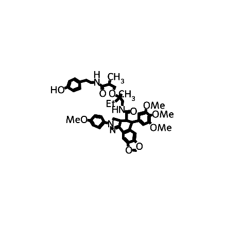 CCC(C)(CNC(=O)C1C2CN(c3ccc(OC)cc3)N=C2c2cc3c(cc2C1c1cc(OC)c(OC)c(OC)c1)OCO3)OCC(C)C(=O)NCCc1ccc(O)cc1